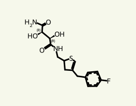 NC(=O)[C@H](O)[C@@H](O)C(=O)NCC1CC(Cc2ccc(F)cc2)=CS1